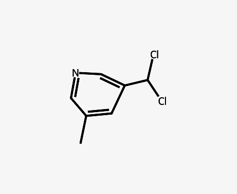 Cc1cncc(C(Cl)Cl)c1